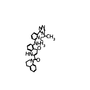 CC(C)n1cnnc1-c1cccc(Nc2cccc3[nH]c(C(=O)N4CCCc5ccccc54)cc(=O)c23)n1